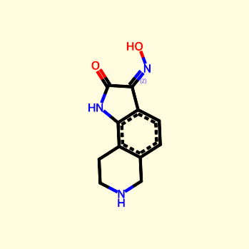 O=C1Nc2c(ccc3c2CCNC3)/C1=N/O